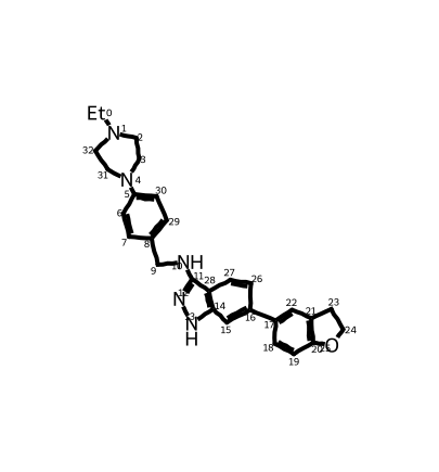 CCN1CCN(c2ccc(CNc3n[nH]c4cc(-c5ccc6c(c5)CCO6)ccc34)cc2)CC1